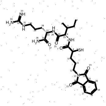 CCC(C)[C@H](NC(=O)C(S)CCCN1C(=O)c2ccccc2C1=O)C(=O)N[C@@H](CCCNC(=N)N)C(N)=O